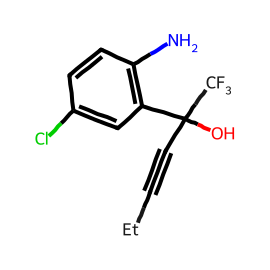 CCC#CC(O)(c1cc(Cl)ccc1N)C(F)(F)F